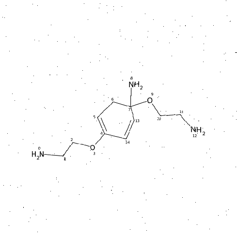 NCCOC1=CCC(N)(OCCN)C=C1